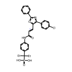 CCC(CC)(c1ccc(NC(=O)/C=C/c2oc(-c3ccccc3)nc2-c2ccc(Cl)cc2)cc1)P(=O)(O)O